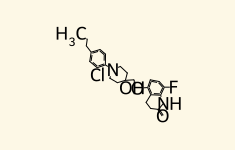 CCCc1ccc(N2CCC(O)(COc3ccc(F)c4c3CCC(=O)N4)CC2)c(Cl)c1